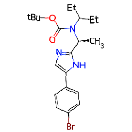 CCC(CC)N(C(=O)OC(C)(C)C)[C@@H](C)c1ncc(-c2ccc(Br)cc2)[nH]1